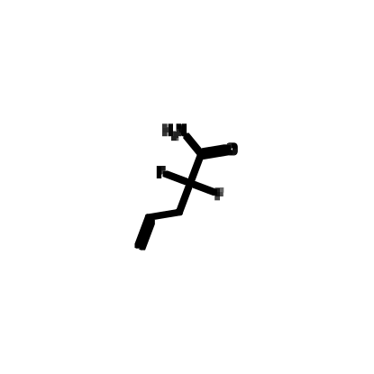 C=CCC(F)(F)C(N)=O